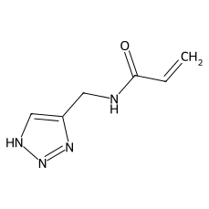 C=CC(=O)NCc1c[nH]nn1